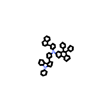 c1ccc(-c2c(-c3ccccc3)c3cc(N(c4cccc(-c5cccc6ccccc56)c4)c4cccc(-c5cccc6c5c5ccccc5n6-c5ccccc5)c4)ccc3c3ccccc23)cc1